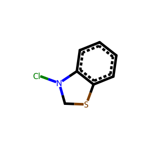 ClN1CSc2ccccc21